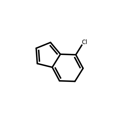 ClC1=CCC=C2C=CC=C12